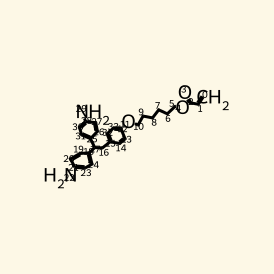 C=CC(=O)OCCCCCCOc1ccc(CC(c2ccc(N)cc2)c2ccc(N)cc2)cc1